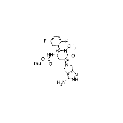 CN1C(=O)[C@@H](N2Cc3n[nH]c(N)c3C2)CC(NC(=O)OC(C)(C)C)[C@H]1C1CC(F)=CC=C1F